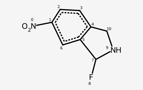 O=[N+]([O-])c1ccc2c(c1)C(F)NC2